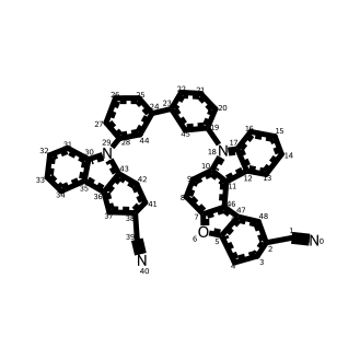 N#Cc1ccc2oc3ccc4c(c5ccccc5n4-c4cccc(-c5cccc(-n6c7ccccc7c7cc(C#N)ccc76)c5)c4)c3c2c1